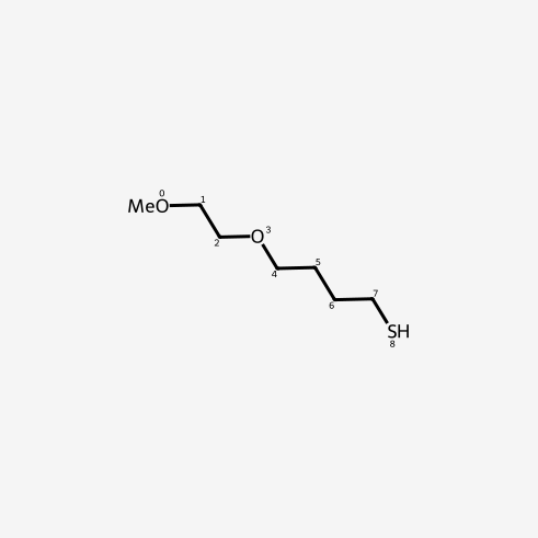 COCCOCCCCS